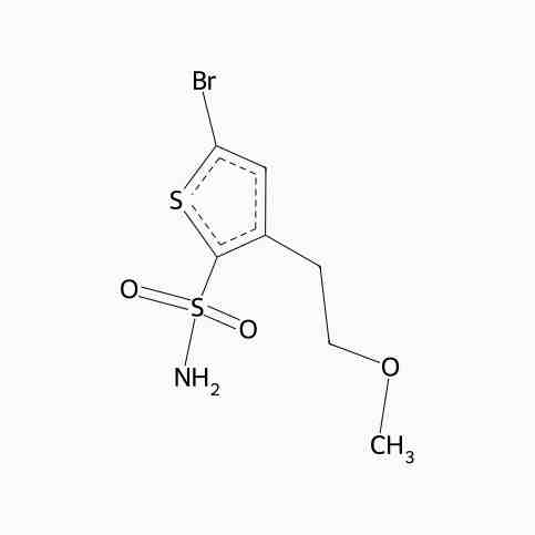 COCCc1cc(Br)sc1S(N)(=O)=O